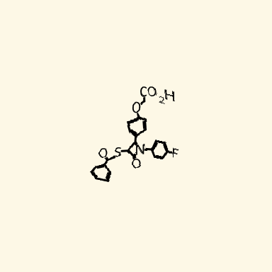 O=C(O)COc1ccc(C2C(SCC(=O)c3ccccc3)C(=O)N2c2ccc(F)cc2)cc1